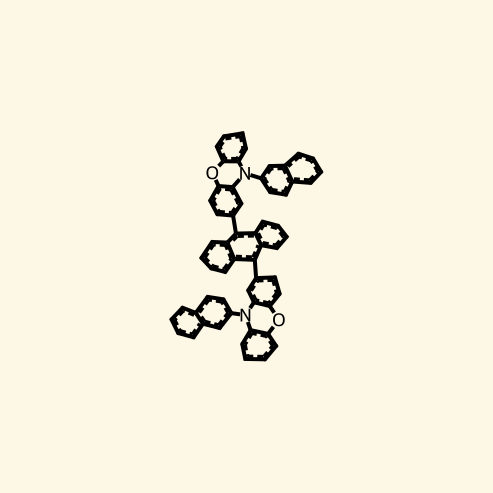 c1ccc2c(c1)Oc1ccc(-c3c4ccccc4c(-c4ccc5c(c4)N(c4ccc6ccccc6c4)c4ccccc4O5)c4ccccc34)cc1N2c1ccc2ccccc2c1